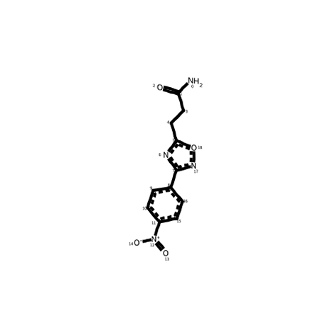 NC(=O)CCc1nc(-c2ccc([N+](=O)[O-])cc2)no1